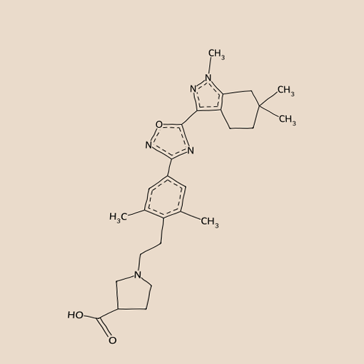 Cc1cc(-c2noc(-c3nn(C)c4c3CCC(C)(C)C4)n2)cc(C)c1CCN1CCC(C(=O)O)C1